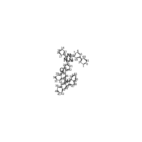 c1ccc(-c2cccc(-c3nc(-c4ccccc4)nc(-c4ccc5c(c4)oc4c6ccccc6c(-n6c7cc8ccccc8cc7c7ccc8ccccc8c76)cc54)n3)c2)cc1